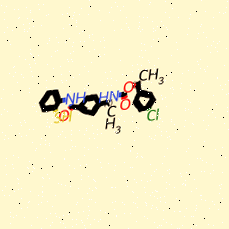 C[C@H](OC(=O)N[C@H](C)c1ccc(C(=O)Nc2ccccc2S)cc1)c1ccc(Cl)cc1